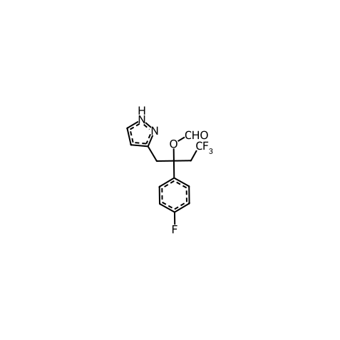 O=COC(Cc1cc[nH]n1)(CC(F)(F)F)c1ccc(F)cc1